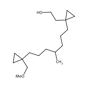 COCC1(CCCC(C)CCCC2(CCO)CC2)CC1